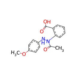 COc1ccc(NN(C(C)=O)c2ccccc2C(=O)O)cc1